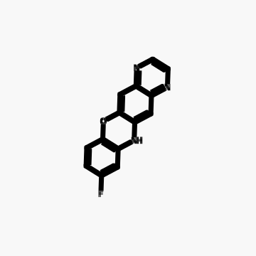 Fc1ccc2c(c1)Nc1cc3nccnc3cc1O2